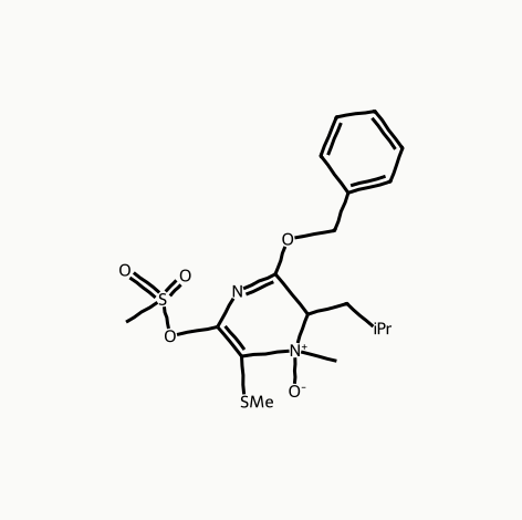 CSC1=C(OS(C)(=O)=O)N=C(OCc2ccccc2)C(CC(C)C)[N+]1(C)[O-]